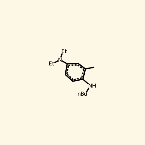 CCCCNc1ccc(N(CC)CC)cc1C